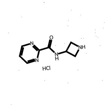 Cl.O=C(NC1CNC1)c1ncccn1